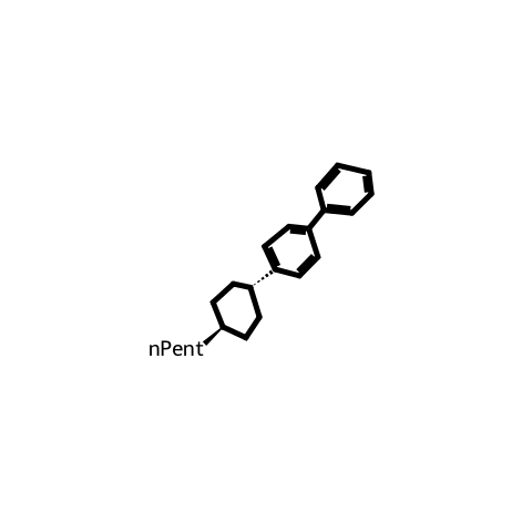 CCCCC[C@H]1CC[C@H](c2ccc(-c3ccccc3)cc2)CC1